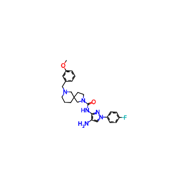 COc1cccc(CN2CCCC3(CCN(C(=O)Nc4nn(-c5ccc(F)cc5)cc4N)C3)C2)c1